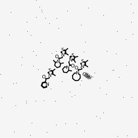 Cc1sc[n+](CC(=O)N2C(C)CCCC2C)c1C.Cc1sc[n+](CC(=O)N2CCCCC2C)c1C.Cc1sc[n+](CC(=O)N2CCCCCCC2)c1C.Cc1sc[n+](CC(=O)c2ccccn2)c1C.[Br-].[Br-].[Cl-].[Cl-]